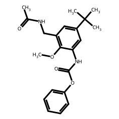 COc1c(CNC(C)=O)cc(C(C)(C)C)cc1NC(=O)Oc1ccccc1